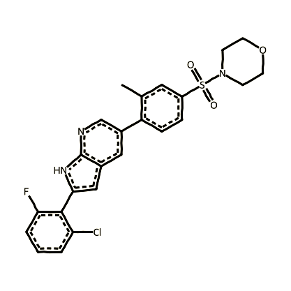 Cc1cc(S(=O)(=O)N2CCOCC2)ccc1-c1cnc2[nH]c(-c3c(F)cccc3Cl)cc2c1